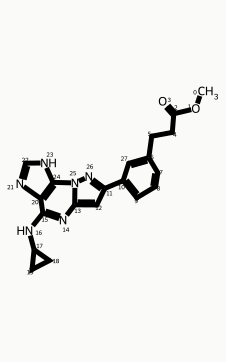 COC(=O)CCc1cccc(-c2cc3nc(NC4CC4)c4nc[nH]c4n3n2)c1